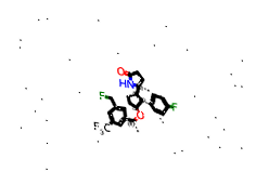 C[C@@H](O[C@H]1CC[C@@H]([C@]2(C)CCC(=O)N2)[C@@H]1c1ccc(F)cc1)c1cc(CF)cc(C(F)(F)F)c1